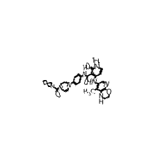 Cc1c(Nc2cc[nH]c(=O)c2C(=O)Nc2ccc(N3CCN(C(=O)N4CC5(CCC5)C4)CC3)cc2)cnc2c1NCCO2